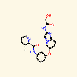 Cc1cccnc1C(=O)Nc1cccc(Oc2ccc3nc(NC(=O)CO)cn3c2)c1